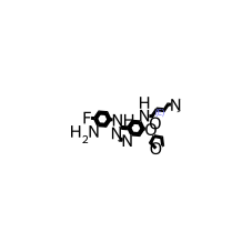 CN(C)C/C=C/C(=O)Nc1cc2c(Nc3ccc(F)c(N)c3)ncnc2cc1OC1CCOC1